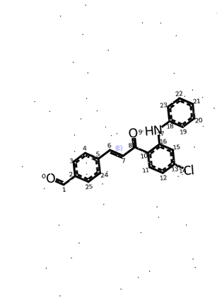 O=Cc1ccc(/C=C/C(=O)c2ccc(Cl)cc2Nc2ccccc2)cc1